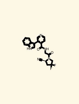 N#C[C@@H]1CC(F)(F)CN1C(=O)CNC(=O)c1ccncc1-c1c[nH]c2ccccc12